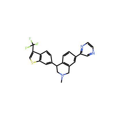 CN1Cc2cc(-c3cnccn3)ccc2C(c2ccc3c(C(F)(F)F)csc3c2)C1